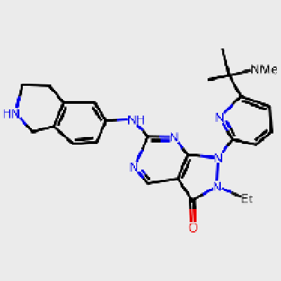 CCn1c(=O)c2cnc(Nc3ccc4c(c3)CCNC4)nc2n1-c1cccc(C(C)(C)NC)n1